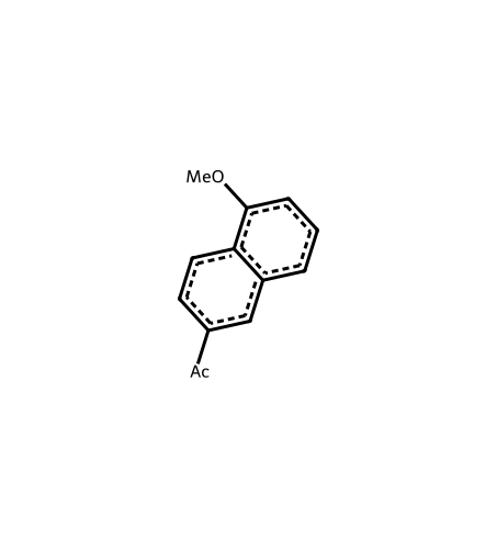 COc1cccc2cc(C(C)=O)ccc12